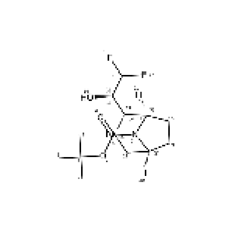 CC(C)(C)OC(=O)N1[C@H]2CC[C@@H]1[C@@H]([C@@H](O)C(F)F)NC2